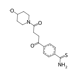 NC(=S)c1ccc(C(=O)CCC(=O)N2CCC([O])CC2)cc1